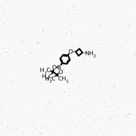 CC1(C)OB(c2ccc(O[C@H]3C[C@@H](N)C3)cc2)OC1(C)C